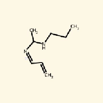 C=C/C=N\C(C)NCCC